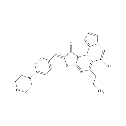 CCCC1=C(C(=O)O)C(c2cccs2)n2c(s/c(=C\c3ccc(N4CCOCC4)cc3)c2=O)=N1